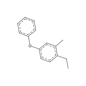 CCc1ccc(Oc2ccccc2)cc1C